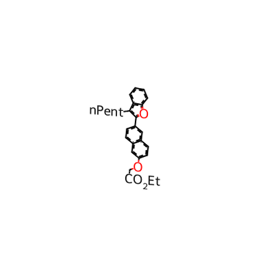 CCCCCc1c(-c2ccc3cc(OCC(=O)OCC)ccc3c2)oc2ccccc12